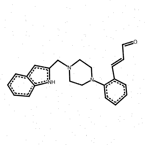 O=C/C=C/c1ccccc1N1CCN(Cc2cc3ccccc3[nH]2)CC1